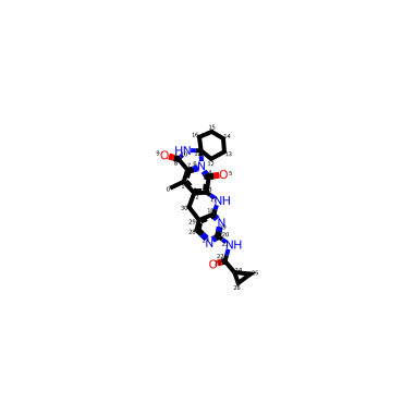 Cc1c2c(c(=O)n3c1C(=O)NC31CCCCC1)Nc1nc(NC(=O)C3CC3)ncc1C2